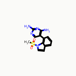 CS(=O)(=O)n1ccc2cccc(-c3cnc(N)nc3N)c21